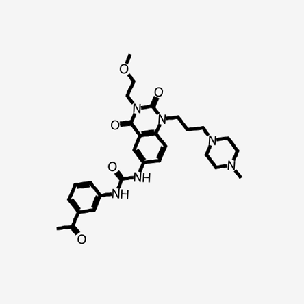 COCCn1c(=O)c2cc(NC(=O)Nc3cccc(C(C)=O)c3)ccc2n(CCCN2CCN(C)CC2)c1=O